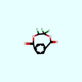 O=C1OC(F)C(F)(F)OC(=O)c2ccc1cc2